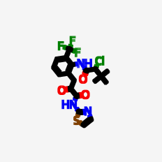 CC(C)(C)C(Cl)C(=O)Nc1c(CC(=O)C(=O)Nc2nccs2)cccc1C(F)(F)F